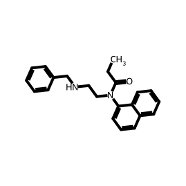 CCC(=O)N(CCNCc1ccccc1)c1cccc2ccccc12